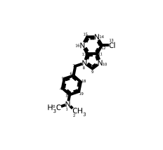 CN(C)c1ccc(Cn2cnc3c(Cl)ncnc32)cc1